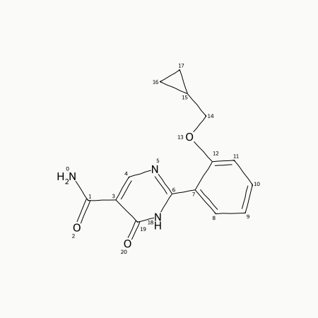 NC(=O)c1cnc(-c2ccccc2OCC2CC2)[nH]c1=O